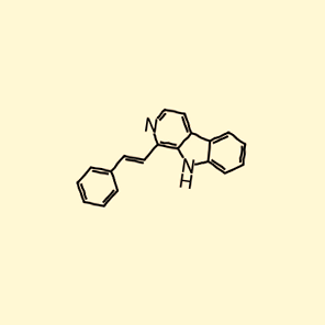 C(=Cc1nccc2c1[nH]c1ccccc12)c1ccccc1